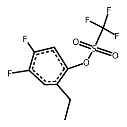 CCc1cc(F)c(F)cc1OS(=O)(=O)C(F)(F)F